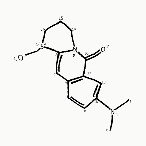 CN(C)c1ccc2cc3n(c(=O)c2c1)CCC[S+]3[O-]